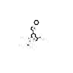 CN(C(=O)OC(C)(C)C)c1cc(-c2ccn(-c3ccccc3)n2)cc2c(C(N)=O)cnn12